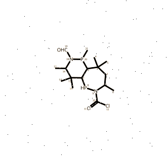 CC1CC(C)(C)C2C(PN1C(=O)Cl)C(C)(C)C(C)N(C=O)P2C